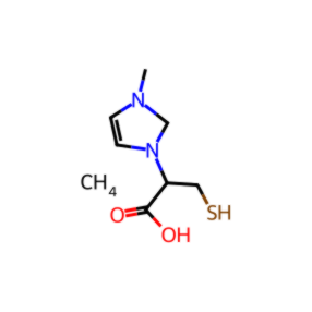 C.CN1C=CN(C(CS)C(=O)O)C1